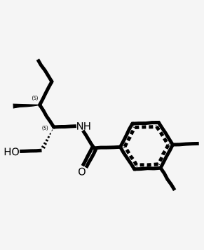 CC[C@H](C)[C@@H](CO)NC(=O)c1ccc(C)c(C)c1